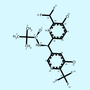 CC(C)(C)[S@@+]([O-])N[C@H](c1cnc(C(F)(F)F)c(Cl)c1)c1ccc(Cl)c(C(F)F)n1